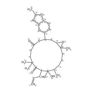 C=CCC1C(=O)C(C)(C)CCC(=O)OC(c2ccc3oc(C)nc3c2)CC2OC2(C)CCCC(C)C1(O)O